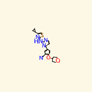 N#Cc1cc(-c2ccnc(Nc3nc(C4CC4)cs3)n2)ccc1OC1CCOCC1